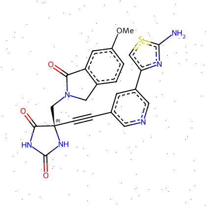 COc1ccc2c(c1)C(=O)N(C[C@@]1(C#Cc3cncc(-c4csc(N)n4)c3)NC(=O)NC1=O)C2